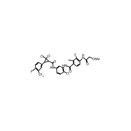 COCC(=O)Nc1ccc(C(=O)Nc2cc(NC(=O)C3C(c4ccc(F)c(C(F)(F)F)c4)C3(Cl)Cl)ccc2Cl)c(C)c1F